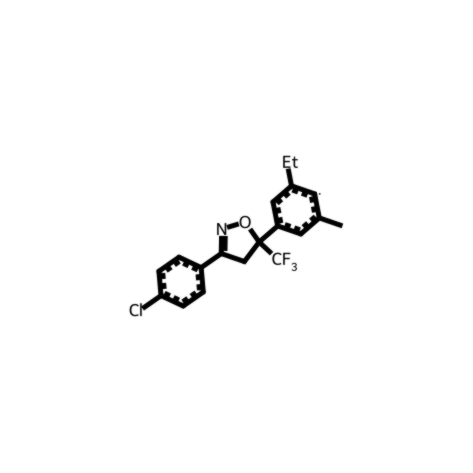 CCc1[c]c(C)cc(C2(C(F)(F)F)CC(c3ccc(Cl)cc3)=NO2)c1